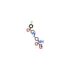 O=C(N[C@H]1CC[C@H](CCN2CCC(C(=O)c3ccc(F)cc3)CC2)CC1)C1CCOC1